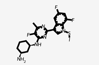 Cc1nc(-c2cn(SI)c3c(F)cc(F)cc23)nc(N[C@@H]2CCC[C@H](N)C2)c1F